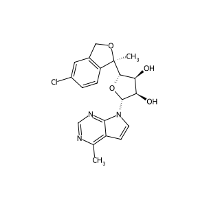 Cc1ncnc2c1ccn2[C@@H]1O[C@H]([C@]2(C)OCc3cc(Cl)ccc32)[C@@H](O)[C@H]1O